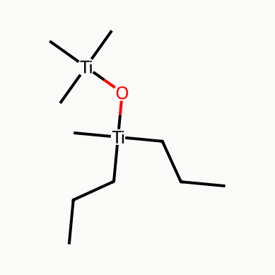 CC[CH2][Ti]([CH3])([CH2]CC)[O][Ti]([CH3])([CH3])[CH3]